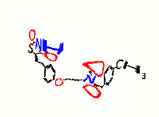 Cc1ccc2c(c1)OCN(CCOc1ccc(C=C3SC(=O)NC3=O)cc1)C2=O